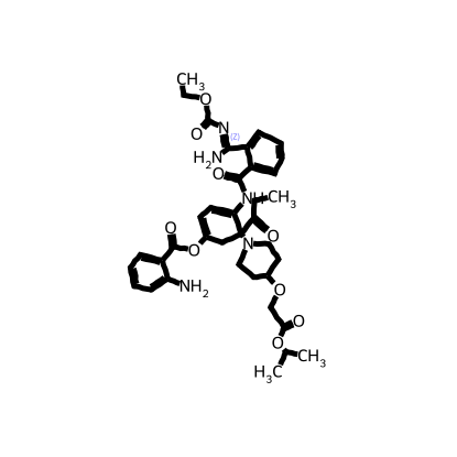 CCOC(=O)/N=C(\N)c1ccccc1C(=O)NC1=CC=C(OC(=O)c2ccccc2N)CC1(C(=O)CC)N1CCC(OCC(=O)OC(C)C)CC1